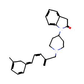 C=C(/C=C\C=C1\C=CC=C(C)C1)CN1CCC(N2C(=O)Cc3ccccc32)CC1